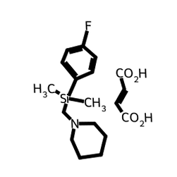 C[Si](C)(CN1CCCCC1)c1ccc(F)cc1.O=C(O)C=CC(=O)O